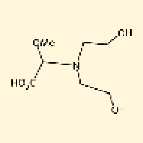 COC(C(=O)O)N(CCO)CCO